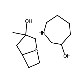 CC1(O)CC2CCN2C1.OC1CCCCNC1